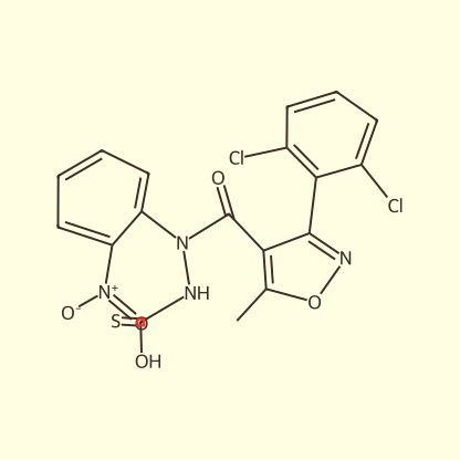 Cc1onc(-c2c(Cl)cccc2Cl)c1C(=O)N(NC(O)=S)c1ccccc1[N+](=O)[O-]